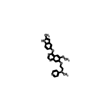 COc1cc2c(Oc3ccc4[nH]c(C)cc4c3)ncnc2cc1OCCN(C)c1ccncc1